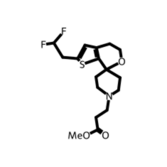 COC(=O)CCN1CCC2(CC1)OCCc1cc(CC(F)F)sc12